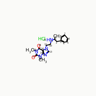 CC(Cc1ccccc1)NCCn1cnc2c1c(=O)n(C)c(=O)n2C.Cl